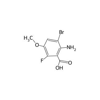 COc1cc(Br)c(N)c(C(=O)O)c1F